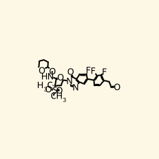 C[C@@](CCn1cnc2cc(-c3ccc(CC=O)c(F)c3F)c(F)cc2c1=O)(C(=O)NOC1CCCCO1)S(C)(=O)=O